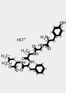 CC(C)C[C@H](NC(=O)[C@H](Cc1ccccc1)NC(=O)[C@H](C)NC(=O)CNC(=O)[C@@H](N)Cc1ccc(O)cc1)C(=O)O.Cl